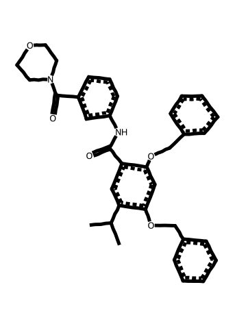 CC(C)c1cc(C(=O)Nc2cccc(C(=O)N3CCOCC3)c2)c(OCc2ccccc2)cc1OCc1ccccc1